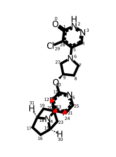 O=c1[nH]ncc(N2CC[C@@H](Oc3cc(N4[C@@H]5CC[C@H]4CC(F)(F)C5)ccn3)C2)c1Cl